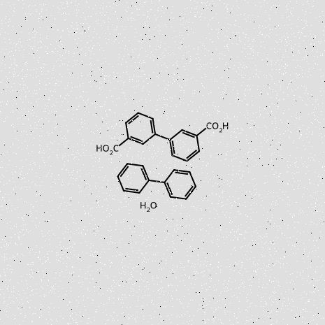 O.O=C(O)c1cccc(-c2cccc(C(=O)O)c2)c1.c1ccc(-c2ccccc2)cc1